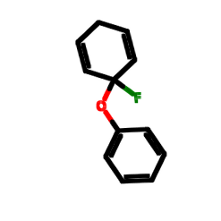 FC1(Oc2ccccc2)C=CCC=C1